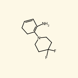 NC1=C(N2CCC(F)(F)CC2)CCC=C1